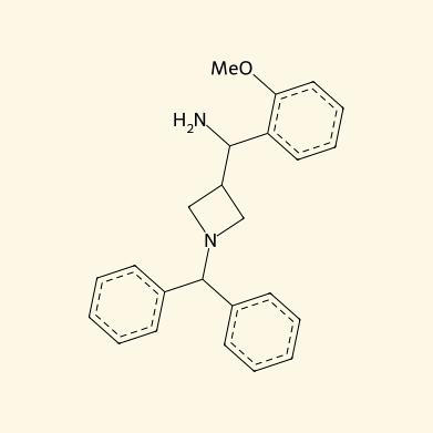 COc1ccccc1C(N)C1CN(C(c2ccccc2)c2ccccc2)C1